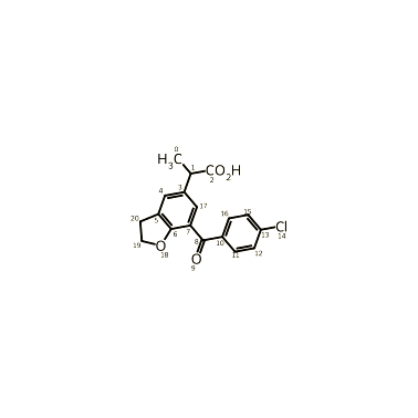 CC(C(=O)O)c1cc2c(c(C(=O)c3ccc(Cl)cc3)c1)OCC2